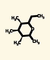 CCC1OC(C)[C@H](C)[C@@H](C)[C@@H]1C